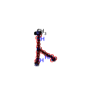 C/C1=C/c2ccccc2CN(C(=O)CCC(=O)NCCOCCOCCOCCN(CCOCCOCCOCCNC(=O)O[C@H]2CC/C=C/CCC2)C(=O)CCOCCOCCOCCOCCNC(=O)CCN2C(=O)C=CC2=O)c2ccccc21